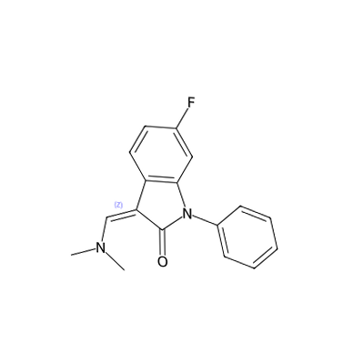 CN(C)/C=C1\C(=O)N(c2ccccc2)c2cc(F)ccc21